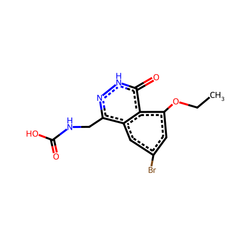 CCOc1cc(Br)cc2c(CNC(=O)O)n[nH]c(=O)c12